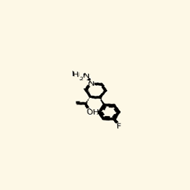 CC(O)[C@@H]1CN(N)CC[C@H]1c1ccc(F)cc1